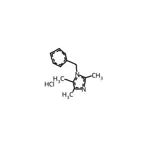 Cc1nc(C)n(Cc2ccccc2)c1C.Cl